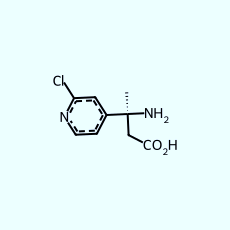 C[C@](N)(CC(=O)O)c1ccnc(Cl)c1